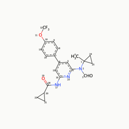 CC1(N(C=O)c2cc(-c3ccc(OC(F)(F)F)cc3)cc(NC(=O)C3CC3)n2)CC1